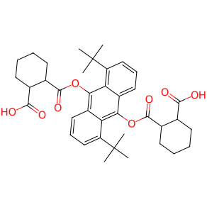 CC(C)(C)c1cccc2c(OC(=O)C3CCCCC3C(=O)O)c3c(C(C)(C)C)cccc3c(OC(=O)C3CCCCC3C(=O)O)c12